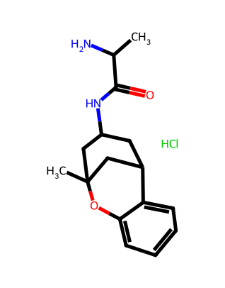 CC(N)C(=O)NC1CC2CC(C)(C1)Oc1ccccc12.Cl